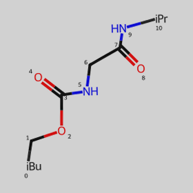 CCC(C)COC(=O)NCC(=O)NC(C)C